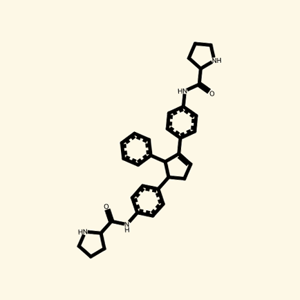 O=C(Nc1ccc(C2=CCC(c3ccc(NC(=O)C4CCCN4)cc3)C2c2ccccc2)cc1)C1CCCN1